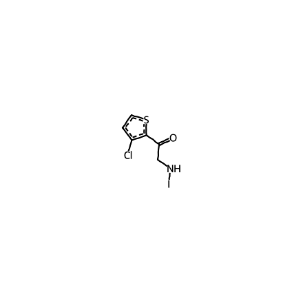 O=C(CNI)c1sccc1Cl